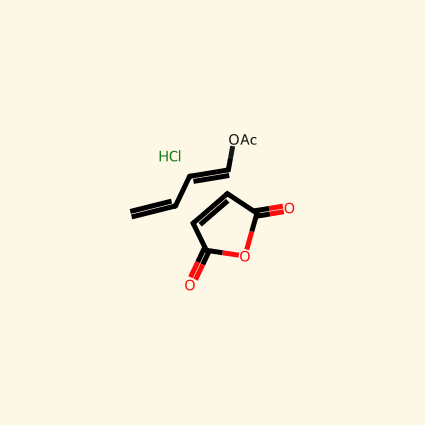 C=CC=COC(C)=O.Cl.O=C1C=CC(=O)O1